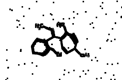 C/N=C(/C1=C(O)C#CC(C)C=C1)c1ccccc1O